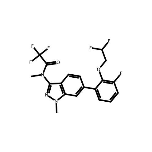 CN(C(=O)C(F)(F)F)c1nn(C)c2cc(-c3cccc(F)c3OCC(F)F)ccc12